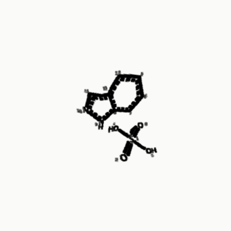 O=S(=O)(O)O.c1ccc2[nH]ncc2c1